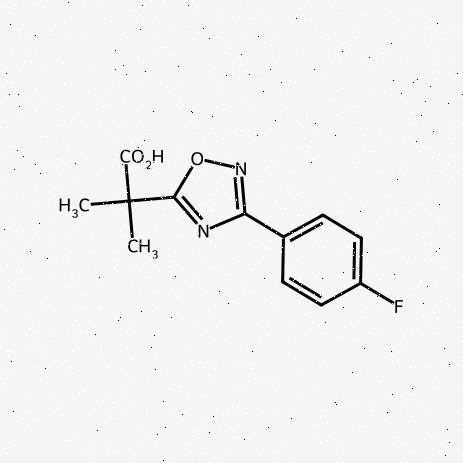 CC(C)(C(=O)O)c1nc(-c2ccc(F)cc2)no1